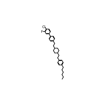 CCCCCCc1ccc(CCC2CCC(CCc3ccc(-c4ccc(Cl)c(F)c4)cc3)CC2)cc1